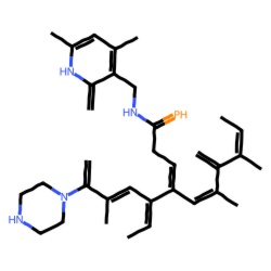 C=C1NC(C)=CC(C)=C1CNC(=P)CC=C(/C=C(/C)C(=C)/C(C)=C\C)C(/C=C(\C)C(=C)N1CCNCC1)=C/C